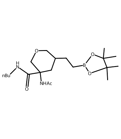 CCCCNC(=O)C1(NC(C)=O)COCC(CCB2OC(C)(C)C(C)(C)O2)C1